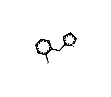 Fc1c[c]ccc1Cc1cccs1